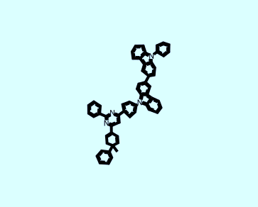 CC1(c2ccccc2)C=CC(c2cc(-c3ccc(-n4c5ccccc5c5cc(-c6ccc7c(c6)c6ccccc6n7-c6ccccc6)ccc54)cc3)nc(-c3ccccc3)n2)=CC1